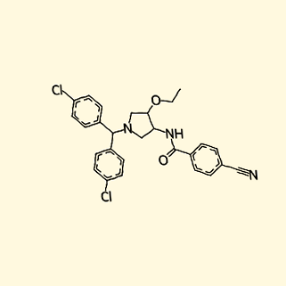 CCOC1CN(C(c2ccc(Cl)cc2)c2ccc(Cl)cc2)CC1NC(=O)c1ccc(C#N)cc1